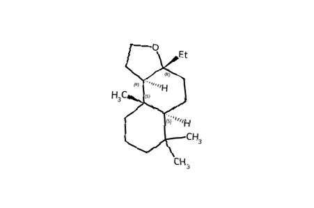 CC[C@@]12CC[C@H]3C(C)(C)CCC[C@]3(C)[C@H]1CCO2